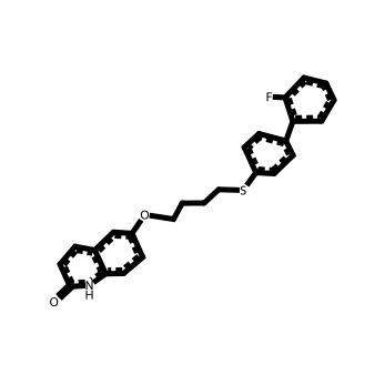 O=c1ccc2cc(OCCCCSc3ccc(-c4ccccc4F)cc3)ccc2[nH]1